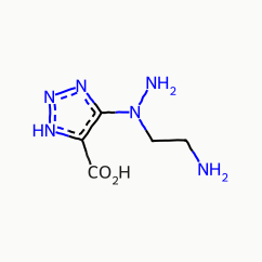 NCCN(N)c1nn[nH]c1C(=O)O